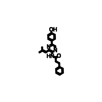 CC(C)=Cc1nc(-c2ccc(O)cc2)cnc1NC(=O)CCc1ccccc1